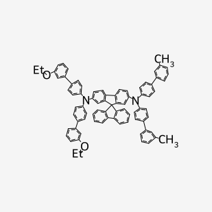 CCOc1cccc(-c2ccc(N(c3ccc(-c4cccc(OCC)c4)cc3)c3ccc4c(c3)C3(c5ccccc5-c5ccccc53)c3cc(N(c5ccc(-c6cccc(C)c6)cc5)c5ccc(-c6cccc(C)c6)cc5)ccc3-4)cc2)c1